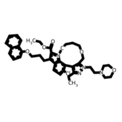 CCOC(=O)c1c(CCCOc2cccc3ccccc23)c2ccc(Cl)c3c2n1CCCCOCc1c-3c(CC)nn1CCN1CCOCC1